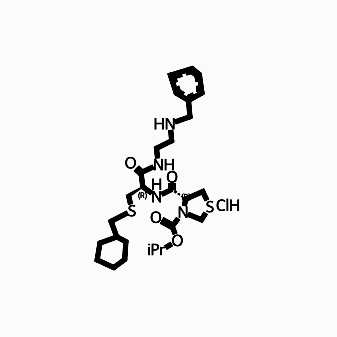 CC(C)OC(=O)N1CSC[C@H]1C(=O)N[C@@H](CSCC1CCCCC1)C(=O)NCCNCc1ccccc1.Cl